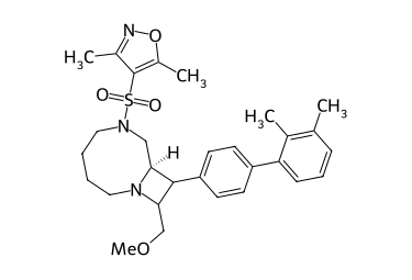 COCC1C(c2ccc(-c3cccc(C)c3C)cc2)[C@@H]2CN(S(=O)(=O)c3c(C)noc3C)CCCCN12